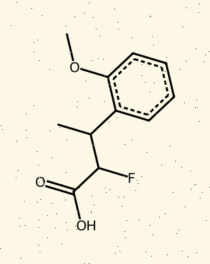 COc1ccccc1C(C)C(F)C(=O)O